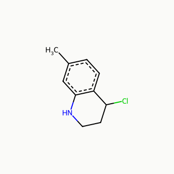 Cc1ccc2c(c1)NCCC2Cl